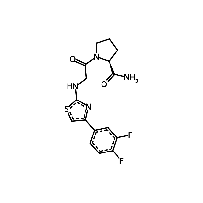 NC(=O)[C@@H]1CCCN1C(=O)CNc1nc(-c2ccc(F)c(F)c2)cs1